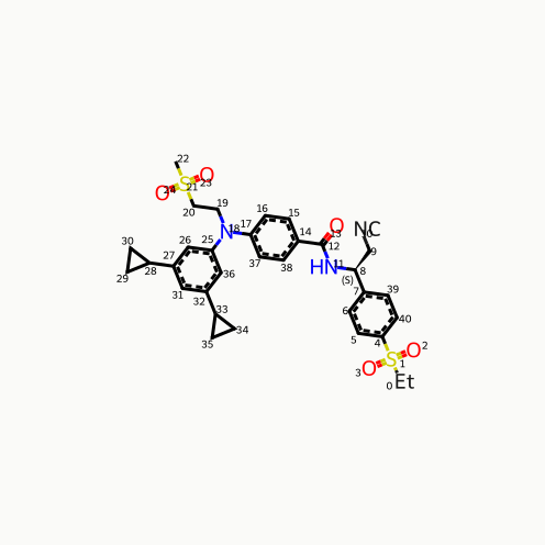 CCS(=O)(=O)c1ccc([C@H](CC#N)NC(=O)c2ccc(N(CCS(C)(=O)=O)c3cc(C4CC4)cc(C4CC4)c3)cc2)cc1